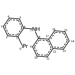 CC(C)c1ccccc1Nc1cccc2ccccc12